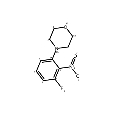 O=[N+]([O-])c1c(F)cccc1N1CCOCC1